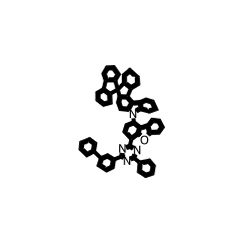 c1ccc(-c2cccc(-c3nc(-c4ccccc4)nc(-c4ccc(-n5c6ccccc6c6c7c(ccc65)C5(c6ccccc6-c6ccccc65)c5ccccc5-7)c5c4oc4ccccc45)n3)c2)cc1